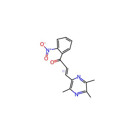 Cc1nc(C)c(/C=C/C(=O)c2ccccc2[N+](=O)[O-])nc1C